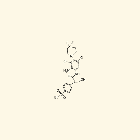 CCS(=O)(=O)c1ccc(C(CO)C(=O)Nc2cc(Cl)c(N3CCC(F)(F)CC3)c(Cl)c2N)cc1